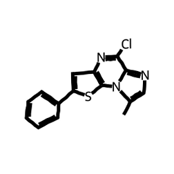 Cc1cnc2c(Cl)nc3cc(-c4ccccc4)sc3n12